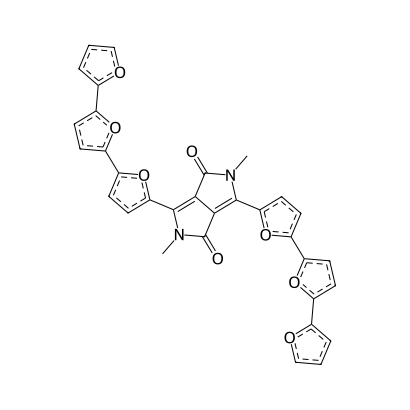 CN1C(=O)C2=C(c3ccc(-c4ccc(-c5ccco5)o4)o3)N(C)C(=O)C2=C1c1ccc(-c2ccc(-c3ccco3)o2)o1